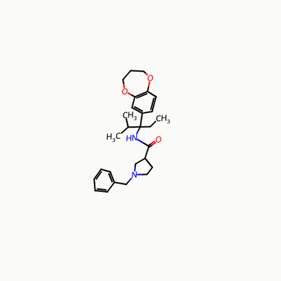 CCC(NC(=O)C1CCN(Cc2ccccc2)C1)(c1ccc2c(c1)OCCCO2)C(C)C